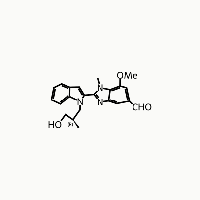 COc1cc(C=O)cc2nc(-c3cc4ccccc4n3C[C@@H](C)CO)n(C)c12